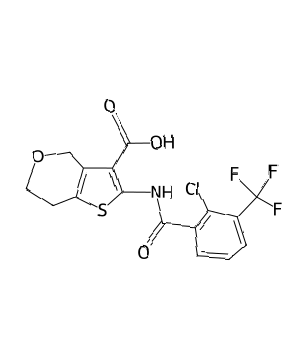 O=C(Nc1sc2c(c1C(=O)O)COCC2)c1cccc(C(F)(F)F)c1Cl